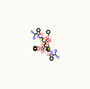 N#CC(C#N)=C1/C(=N/c2cc3c(s2)-c2sc4c5c(sc4c2C(C(=O)OCc2ccccc2)(C(=O)OCc2ccccc2)O3)-c2sc(/N=C3\C(=O)c4ccccc4C3=C(C#N)C#N)cc2OC5(C(=O)OCc2ccccc2)C(=O)OCc2ccccc2)C(=O)c2ccccc21